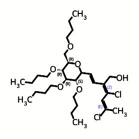 CCCCOC[C@H]1OC(C=C/C(CO)=C(Cl)\C=C(/C)Cl)[C@H](OCCCC)[C@@H](OCCCC)[C@@H]1OCCCC